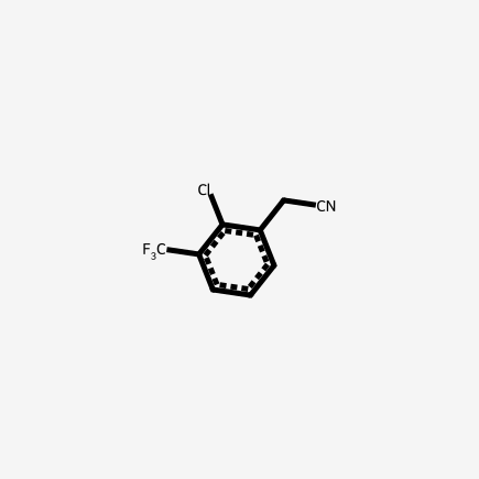 N#CCc1cccc(C(F)(F)F)c1Cl